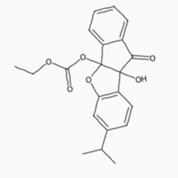 CCOC(=O)OC12Oc3cc(C(C)C)ccc3C1(O)C(=O)c1ccccc12